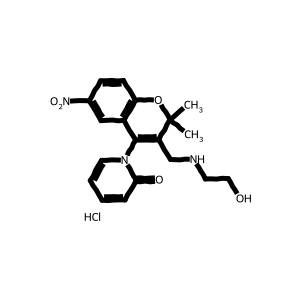 CC1(C)Oc2ccc([N+](=O)[O-])cc2C(n2ccccc2=O)=C1CNCCO.Cl